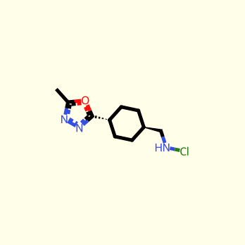 Cc1nnc([C@H]2CC[C@H](CNCl)CC2)o1